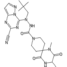 CC1NC(=O)C2(CCN(C(=O)NN(CC(C)(C)C)c3nc(C#N)nc4ccnn34)CC2)N(C)C1=O